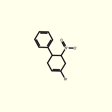 O=[N+]([O-])C1CC(Br)=CCC1c1ccccc1